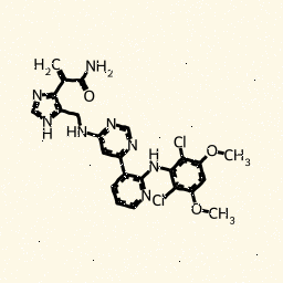 C=C(C(N)=O)c1nc[nH]c1CNc1cc(-c2cccnc2Nc2c(Cl)c(OC)cc(OC)c2Cl)ncn1